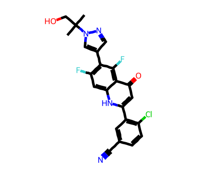 CC(C)(CO)n1cc(-c2c(F)cc3[nH]c(-c4cc(C#N)ccc4Cl)cc(=O)c3c2F)cn1